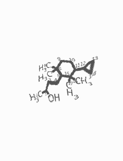 CC(O)/C=C/C1C(C)(C)CCC(C2CC2)C1(C)C